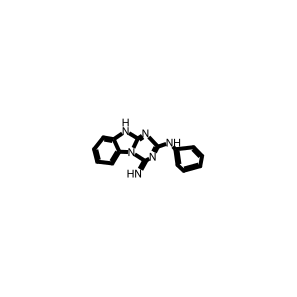 N=c1nc(Nc2ccccc2)nc2[nH]c3ccccc3n12